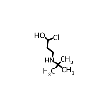 CC(C)(C)NCCC(O)Cl